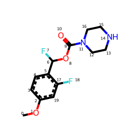 COc1ccc(C(F)OC(=O)N2CCNCC2)c(F)c1